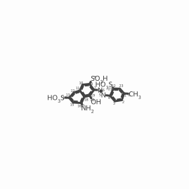 Cc1ccc(N=Nc2c(S(=O)(=O)O)cc3cc(S(=O)(=O)O)cc(N)c3c2O)c(S(=O)(=O)O)c1